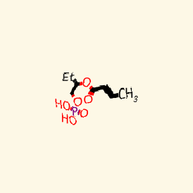 CC=CC(=O)OC(CC)COP(=O)(O)O